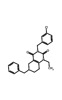 CCn1c2c(c(=O)n(Cc3cccc(Cl)c3)c1=O)CN(Cc1ccccc1)CC2